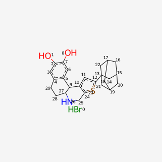 Br.Oc1cc2c(cc1O)C1c3cc(C45CC6CC(CC(C6)C4)C5)sc3CNC1CC2